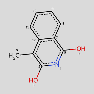 Cc1c(O)nc(O)c2ccccc12